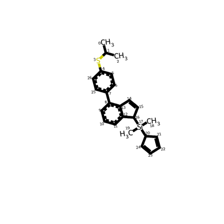 CC(C)Sc1ccc(-c2cccc3c2C=CC3[Si](C)(C)C2C=CC=C2)cc1